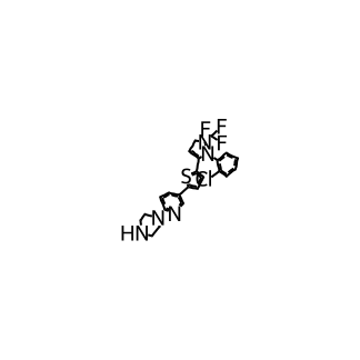 FC(F)(F)N1CC=C(c2ccc(-c3ccc(N4CCNCC4)nc3)s2)N1c1ccccc1Cl